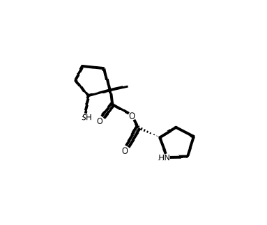 CC1(C(=O)OC(=O)[C@@H]2CCCN2)CCCC1S